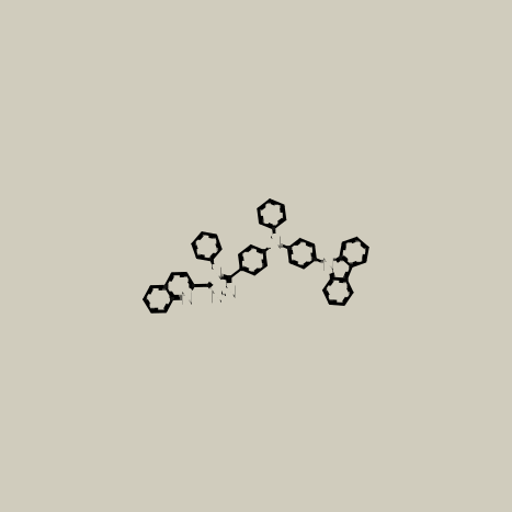 c1ccc(N(c2ccc(-c3nnc(-c4ccc5ccccc5n4)n3-c3ccccc3)cc2)c2ccc(-n3c4ccccc4c4ccccc43)cc2)cc1